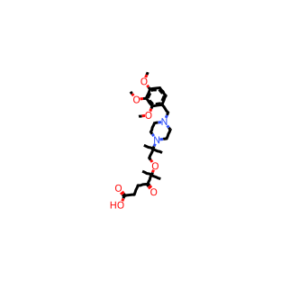 COc1ccc(CN2CCN(C(C)(C)COC(C)(C)C(=O)CCC(=O)O)CC2)c(OC)c1OC